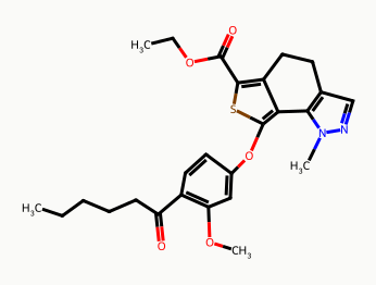 CCCCCC(=O)c1ccc(Oc2sc(C(=O)OCC)c3c2-c2c(cnn2C)CC3)cc1OC